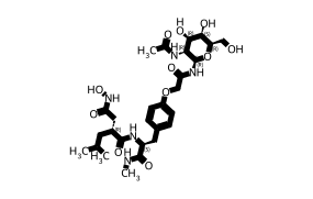 CNC(=O)[C@H](Cc1ccc(OCC(=O)N[C@@H]2O[C@H](CO)[C@@H](O)[C@H](O)[C@H]2NC(C)=O)cc1)NC(=O)[C@@H](CC(=O)NO)CC(C)C